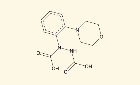 O=C(O)NN(C(=O)O)c1ccccc1N1CCOCC1